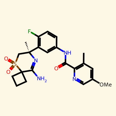 COc1cnc(C(=O)Nc2ccc(F)c([C@]3(C)CS(=O)(=O)C4(CCC4)C(N)=N3)c2)c(C)c1